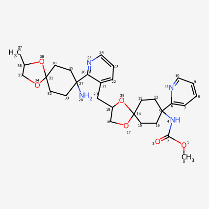 COC(=O)NC1(c2ccccn2)CCC2(CC1)OCC(Cc1cccnc1C1(N)CCC3(CC1)OCC(C)O3)O2